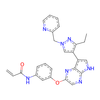 C=CC(=O)Nc1cccc(Oc2cnc3[nH]cc(-c4cn(Cc5ccccn5)nc4CC)c3n2)c1